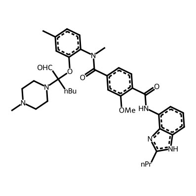 CCCCC(C=O)(Oc1cc(C)ccc1N(C)C(=O)c1ccc(C(=O)Nc2cccc3[nH]c(CCC)nc23)c(OC)c1)N1CCN(C)CC1